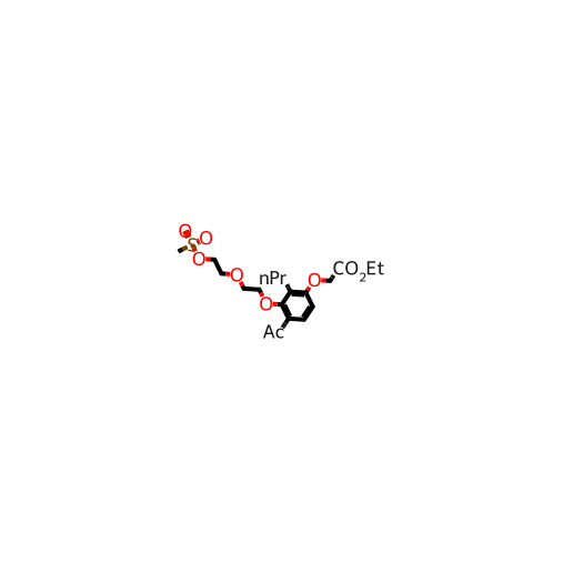 CCCc1c(OCC(=O)OCC)ccc(C(C)=O)c1OCCOCCOS(C)(=O)=O